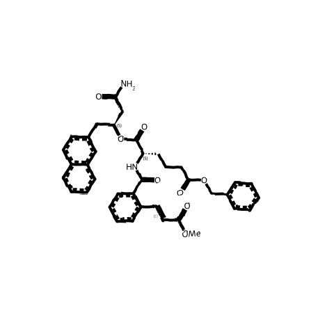 COC(=O)/C=C/c1ccccc1C(=O)N[C@@H](CCCC(=O)OCc1ccccc1)C(=O)O[C@H](CC(N)=O)Cc1ccc2ccccc2c1